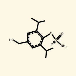 CC(C)c1cc(CO)cc(C(C)C)c1OS(N)(=O)=O